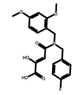 COc1ccc(CN(Cc2ccc(F)cc2)C(=O)C=C(O)C(=O)O)c(OC)c1